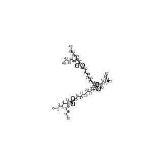 CCCCCC(CCCCC)CC(=O)OCCCCCCCCCC1(CCCCCCCCCOC(=O)CC(CCCCC)CCCCC)OCC(CCN(C)CC)O1